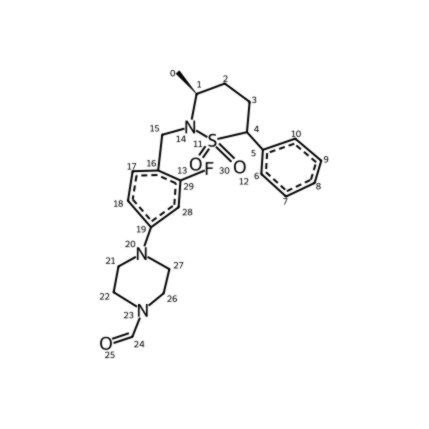 C[C@H]1CCC(c2ccccc2)S(=O)(=O)N1Cc1ccc(N2CCN(C=O)CC2)cc1F